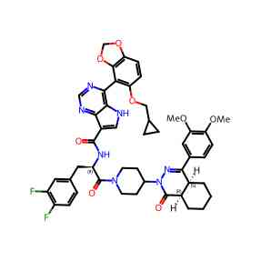 COc1ccc(C2=NN(C3CCN(C(=O)[C@@H](Cc4ccc(F)c(F)c4)NC(=O)c4c[nH]c5c(-c6c(OCC7CC7)ccc7c6OCO7)ncnc45)CC3)C(=O)[C@@H]3CCCC[C@H]23)cc1OC